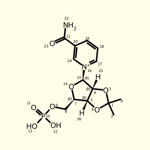 CC1(C)O[C@@H]2[C@H](O1)[C@@H](COP(=O)(O)O)O[C@H]2[n+]1cccc(C(N)=O)c1